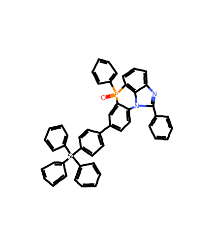 O=P1(c2ccccc2)c2cc(-c3ccc([Si](c4ccccc4)(c4ccccc4)c4ccccc4)cc3)ccc2-n2c(-c3ccccc3)nc3cccc1c32